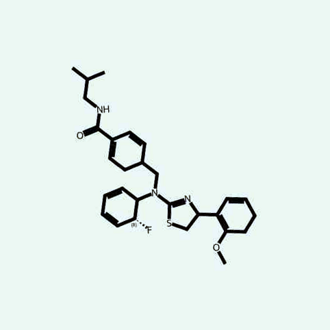 COC1=C(C2CSC(N(CC3C=CC(C(=O)NCC(C)C)=CC3)C3C=CC=C[C@H]3F)=N2)C=CCC1